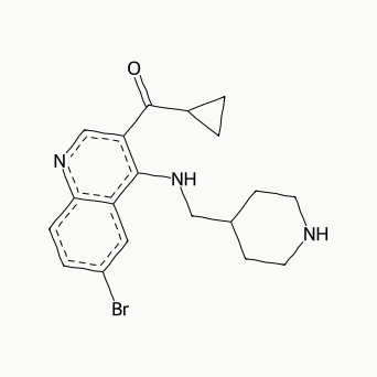 O=C(c1cnc2ccc(Br)cc2c1NCC1CCNCC1)C1CC1